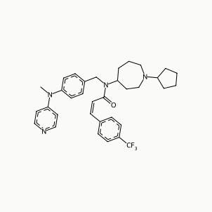 CN(c1ccncc1)c1ccc(CN(C(=O)C=Cc2ccc(C(F)(F)F)cc2)C2CCCN(C3CCCC3)CC2)cc1